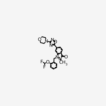 Cn1c(=O)c2ccc(-c3nc(N4CCOCC4)no3)cc2n1Cc1ccccc1OC(F)F